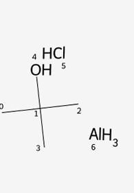 CC(C)(C)O.Cl.[AlH3]